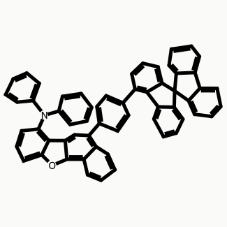 c1ccc(N(c2ccccc2)c2cccc3oc4c5ccccc5c(-c5ccc(-c6cccc7c6-c6ccccc6C76c7ccccc7-c7ccccc76)cc5)cc4c23)cc1